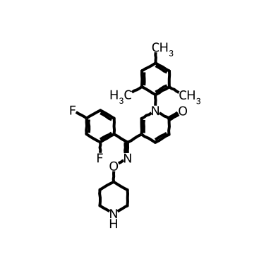 Cc1cc(C)c(-n2cc(/C(=N/OC3CCNCC3)c3ccc(F)cc3F)ccc2=O)c(C)c1